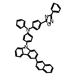 c1ccc(-c2noc(-c3ccc(N(c4ccccc4)c4ccc(-n5c6ccccc6c6cc(-c7ccc8ccccc8c7)ccc65)cc4)cc3)n2)cc1